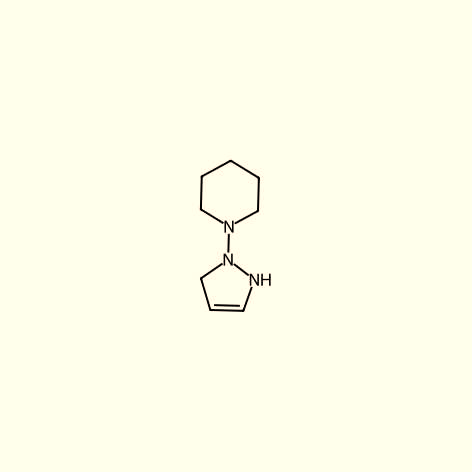 C1=CNN(N2CCCCC2)C1